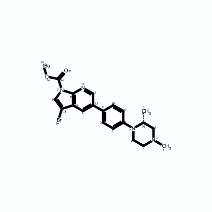 C[C@@H]1CN(C)CCN1c1ccc(-c2cnc3c(c2)c(Br)cn3C(=O)OC(C)(C)C)cc1